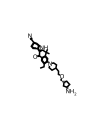 CCc1cc2c(cc1N1CCC(CCOC[C@H]3CC[C@@H](N)C3)CC1)C(C)(C)c1[nH]c3cc(C#N)ccc3c1C2=O